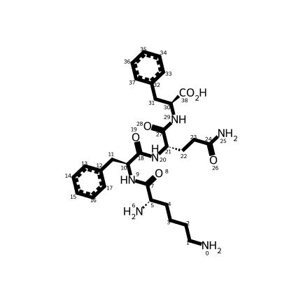 NCCCC[C@H](N)C(=O)N[C@@H](Cc1ccccc1)C(=O)N[C@@H](CCC(N)=O)C(=O)N[C@@H](Cc1ccccc1)C(=O)O